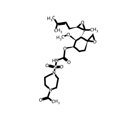 CO[C@H]1[C@H](C2(C)O[C@@H]2CC=C(C)C)[C@]2(CC[C@H]1OC(=O)NS(=O)(=O)N1CCN(C(C)=O)CC1)CO2